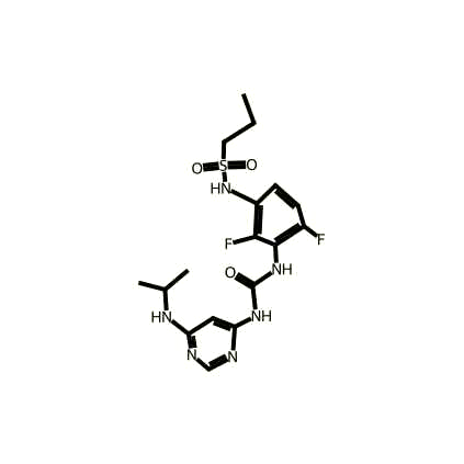 CCCS(=O)(=O)Nc1ccc(F)c(NC(=O)Nc2cc(NC(C)C)ncn2)c1F